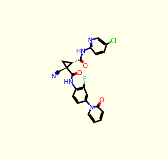 N#C[C@@]1(C(=O)Nc2ccc(-n3ccccc3=O)cc2F)C[C@@H]1C(=O)Nc1ccc(Cl)cn1